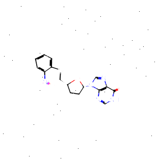 O=c1[nH]cnc2c1ncn2[C@H]1CC[C@@H](C[Se]c2ccccc2[N+](=O)[O-])O1